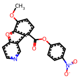 COc1ccc(C(=O)Oc2ccc([N+](=O)[O-])cc2)c2c1oc1ccncc12